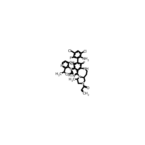 C=CC(=O)N1CC(C)N2c3nc(=O)n(-c4c(C)ccnc4C(C)C)c4c(Cl)c(-c5c(N)c(Cl)cc(Cl)c5F)c(F)c(c34)NCCC2C1